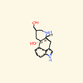 OCC1CN[C@@H]2Cc3c[nH]c4cccc(c34)[C@@]2(O)C1